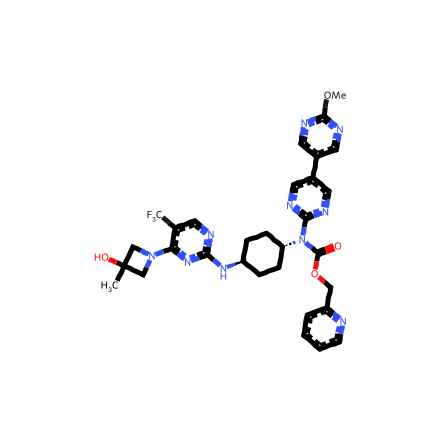 COc1ncc(-c2cnc(N(C(=O)OCc3ccccn3)[C@H]3CC[C@H](Nc4ncc(C(F)(F)F)c(N5CC(C)(O)C5)n4)CC3)nc2)cn1